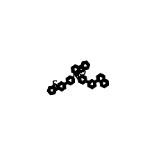 c1cc(-c2ccc(N(c3ccc(-c4ccc5c(c4)sc4ccccc45)cc3)c3cccc4c3oc3ccccc34)cc2)cc(-c2cccc3ccccc23)c1